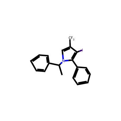 CC(c1ccccc1)n1cc(C(F)(F)F)c(I)c1-c1ccccc1